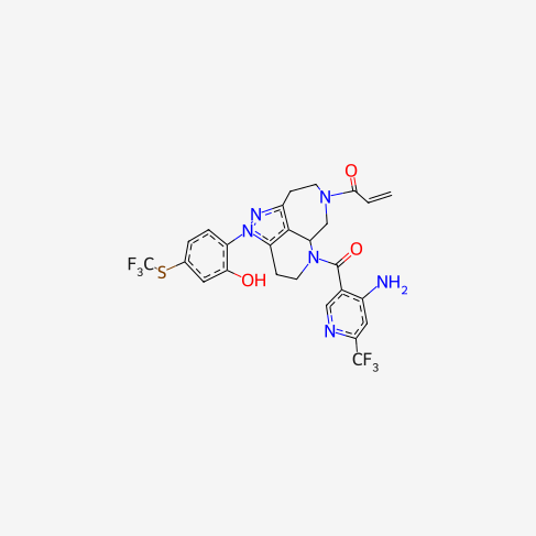 C=CC(=O)N1CCc2nn(-c3ccc(SC(F)(F)F)cc3O)c3c2C(C1)N(C(=O)c1cnc(C(F)(F)F)cc1N)CC3